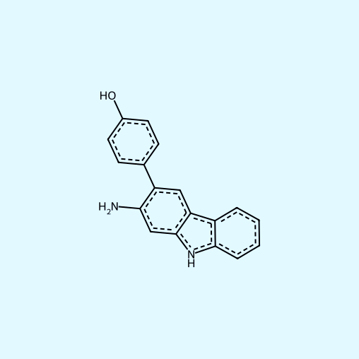 Nc1cc2[nH]c3ccccc3c2cc1-c1ccc(O)cc1